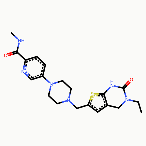 CCN1Cc2cc(CN3CCN(c4ccc(C(=O)NC)nc4)CC3)sc2NC1=O